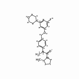 CC1CCCN1C(=O)N(C)c1ccc(COc2cc(F)cc(C3CCOCC3)c2)cc1